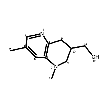 Cc1cnc2c(c1)N(C)CC(CO)C2